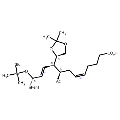 CCCCC[C@@H](/C=C/[C@@H]([C@@H]1COC(C)(C)O1)[C@@H](C/C=C\CCCC(=O)O)C(C)=O)O[Si](C)(C)C(C)(C)C